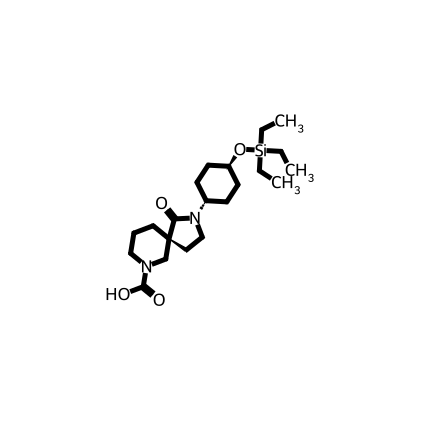 CC[Si](CC)(CC)O[C@H]1CC[C@H](N2CC[C@@]3(CCCN(C(=O)O)C3)C2=O)CC1